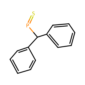 S=PC(c1ccccc1)c1ccccc1